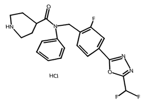 Cl.O=C(C1CCNCC1)N(Cc1ccc(-c2nnc(C(F)F)o2)cc1F)c1ccccc1